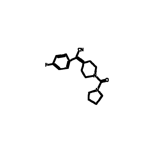 N#CC(=C1CCN(C(=O)N2CCCC2)CC1)c1ccc(F)cc1